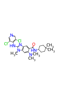 CN(C)c1cc2c(cc1C(=O)NC1CCC(C)(C)CC1)nc(Nc1c(Cl)cncc1Cl)n2C